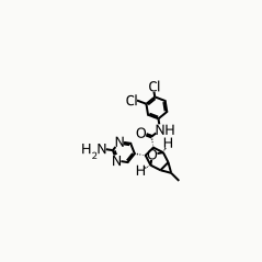 CC1C2C1[C@@H]1O[C@H]2[C@@H](C(=O)Nc2ccc(Cl)c(Cl)c2)[C@H]1c1cnc(N)nc1